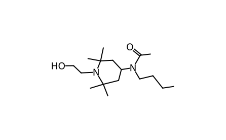 CCCCN(C(C)=O)C1CC(C)(C)N(CCO)C(C)(C)C1